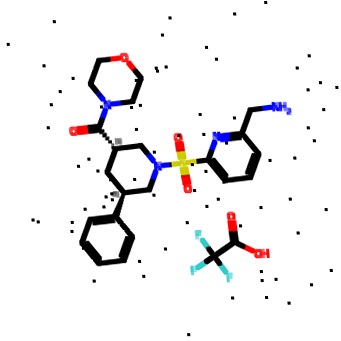 NCc1cccc(S(=O)(=O)N2C[C@@H](C(=O)N3CCOCC3)C[C@H](c3ccccc3)C2)n1.O=C(O)C(F)(F)F